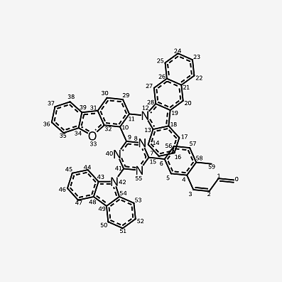 C=C/C=C\c1cc(-c2nc(-c3c(-n4c5ccccc5c5cc6ccccc6cc54)ccc4c3oc3ccccc34)nc(-n3c4ccccc4c4ccccc43)n2)ccc1C